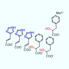 O=C([O-])C(O)Cc1ccccc1.O=C([O-])C(O)Cc1ccccc1.O=C([O-])C(O)Cc1ccccc1.O=C([O-])C=Cc1c[nH]cn1.O=C([O-])C=Cc1c[nH]cn1.O=C([O-])C=Cc1c[nH]cn1.[Mo+6]